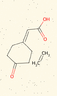 C=C.O=C(O)C=C1CCC(=O)CC1